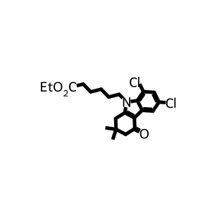 CCOC(=O)CCCCCn1c2c(c3cc(Cl)cc(Cl)c31)C(=O)CC(C)(C)C2